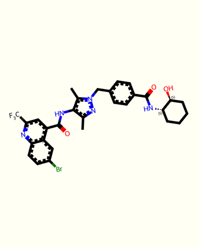 Cc1nn(Cc2ccc(C(=O)N[C@H]3CCCC[C@@H]3O)cc2)c(C)c1NC(=O)c1cc(C(F)(F)F)nc2ccc(Br)cc12